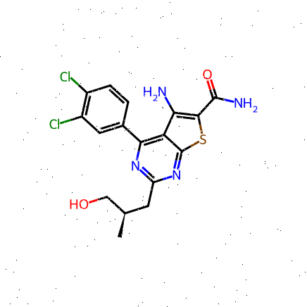 C[C@@H](CO)Cc1nc(-c2ccc(Cl)c(Cl)c2)c2c(N)c(C(N)=O)sc2n1